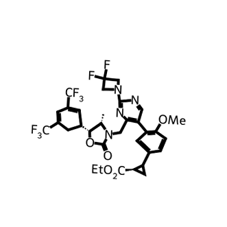 CCOC(=O)[C@@H]1CC1c1ccc(OC)c(-c2cnc(N3CC(F)(F)C3)nc2CN2C(=O)O[C@H](C3C=C(C(F)(F)F)C=C(C(F)(F)F)C3)[C@@H]2C)c1